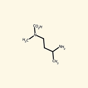 CC(N)CCN(C)C(=O)O